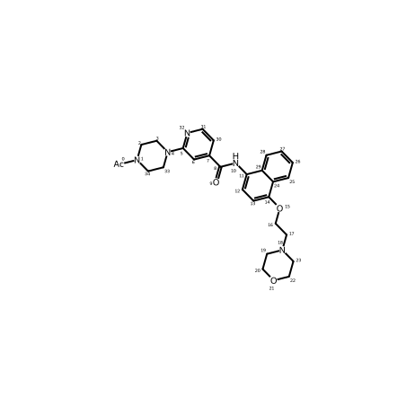 CC(=O)N1CCN(c2cc(C(=O)Nc3ccc(OCCN4CCOCC4)c4ccccc34)ccn2)CC1